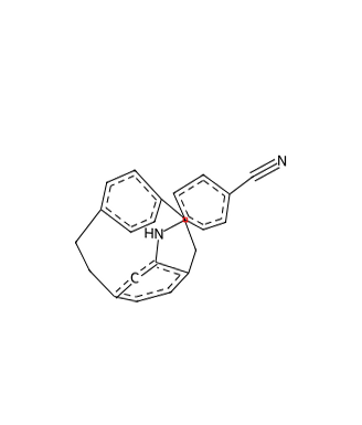 N#Cc1ccc(Nc2cc3ccc2CCc2ccc(cc2)CC3)cc1